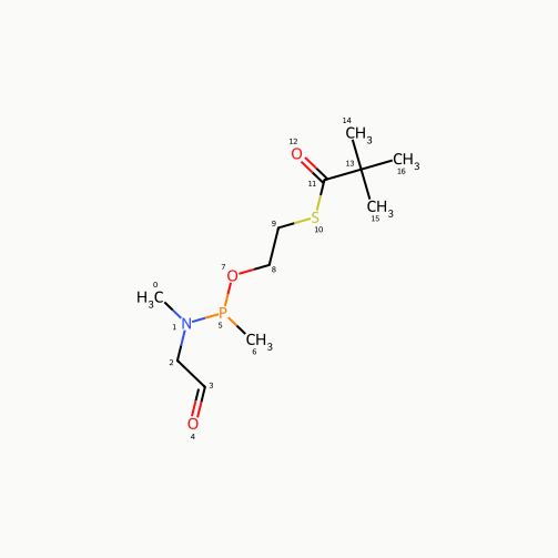 CN(CC=O)P(C)OCCSC(=O)C(C)(C)C